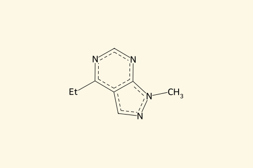 CCc1ncnc2c1cnn2C